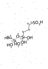 CCCC[Si](O)(O)O[Si](O)(O)CCCS(=O)(=O)O